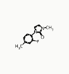 Cc1ccc(-n2ccn(C)c2=O)c(F)c1